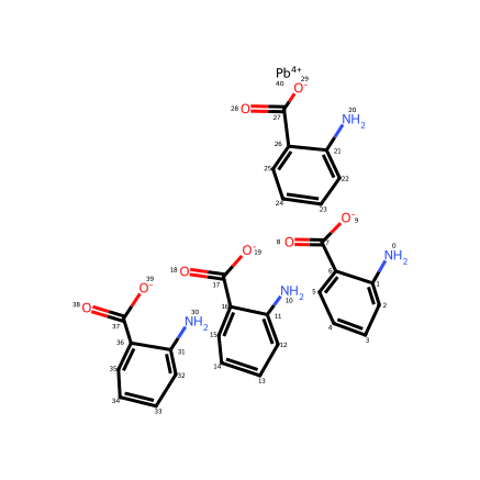 Nc1ccccc1C(=O)[O-].Nc1ccccc1C(=O)[O-].Nc1ccccc1C(=O)[O-].Nc1ccccc1C(=O)[O-].[Pb+4]